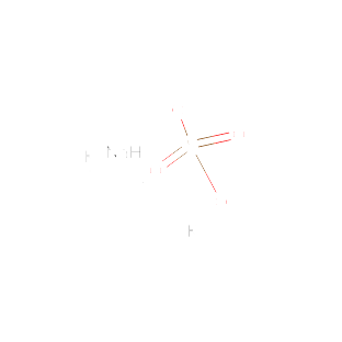 O=S(=O)([O-])[O-].[K+].[K+].[NaH]